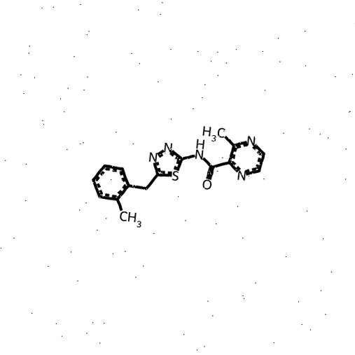 Cc1ccccc1Cc1nnc(NC(=O)c2nccnc2C)s1